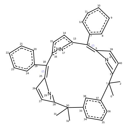 CC1(C)C2=N/C(=C(/c3ccccc3)c3ccc([nH]3)/C(c3ccccc3)=C3/C=CC(=N3)C(C)(C)c3cccc1c3)C=C2